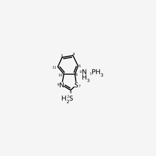 N.P.S.c1ccc2scnc2c1